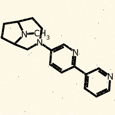 CN1C2CCC1CN(c1ccc(-c3cccnc3)nc1)CC2